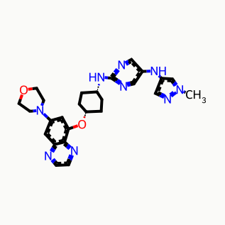 Cn1cc(Nc2cnc(N[C@H]3CC[C@@H](Oc4cc(N5CCOCC5)cc5nccnc45)CC3)nc2)cn1